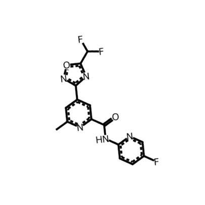 Cc1cc(-c2noc(C(F)F)n2)cc(C(=O)Nc2ccc(F)cn2)n1